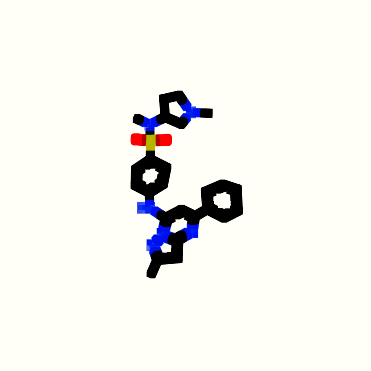 Cc1cc2nc(-c3ccccc3)cc(Nc3ccc(S(=O)(=O)N(C)C4CCN(C)C4)cc3)n2n1